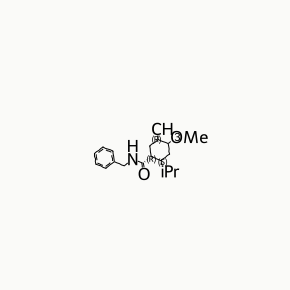 COC1C[C@@H](C(C)C)[C@H](C(=O)NCc2ccccc2)C[C@H]1C